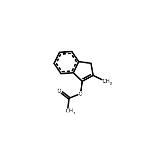 CC(=O)OC1=C(C)Cc2ccccc21